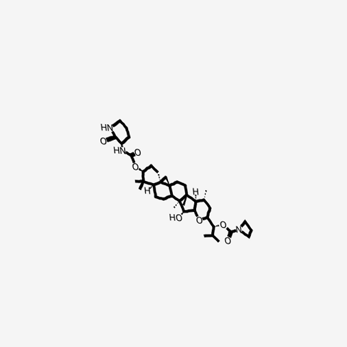 CC(C)[C@@H](OC(=O)N1CCC1)C1C[C@@H](C)[C@H]2C(O1)[C@H](O)[C@@]1(C)C3CC[C@H]4C(C)(C)[C@@H](OC(=O)N[C@@H]5CCCNC5=O)CC[C@@]45C[C@@]35CC[C@]21C